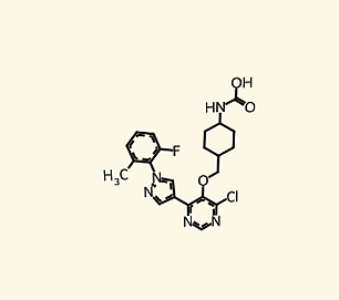 Cc1cccc(F)c1-n1cc(-c2ncnc(Cl)c2OCC2CCC(NC(=O)O)CC2)cn1